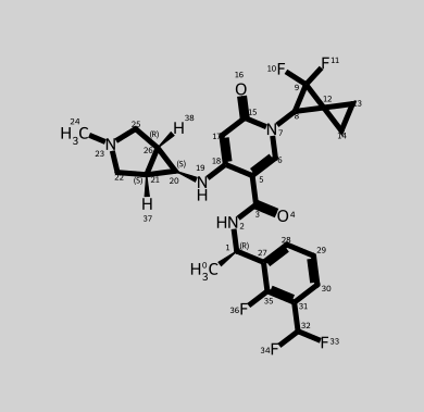 C[C@@H](NC(=O)c1cn(C2C(F)(F)C23CC3)c(=O)cc1N[C@H]1[C@@H]2CN(C)C[C@@H]21)c1cccc(C(F)F)c1F